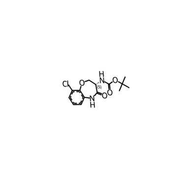 CC(C)(C)OC(=O)N[C@H]1COc2c(Cl)cccc2NC1=O